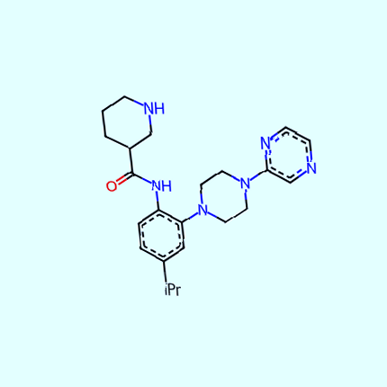 CC(C)c1ccc(NC(=O)C2CCCNC2)c(N2CCN(c3cnccn3)CC2)c1